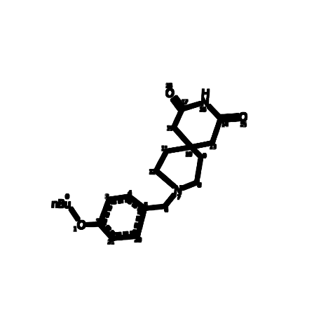 CCCCOc1ccc(CN2CCC3(CC2)CC(=O)NC(=O)C3)cc1